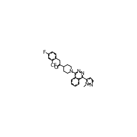 Cn1nccc1-c1nnc(N2CCC(C(=O)Cc3ccc(F)cc3C(F)(F)F)CC2)c2ccccc12